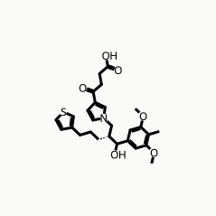 COc1cc(C(O)[C@H](CCCc2ccsc2)Cn2ccc(C(=O)CCC(=O)O)c2)cc(OC)c1C